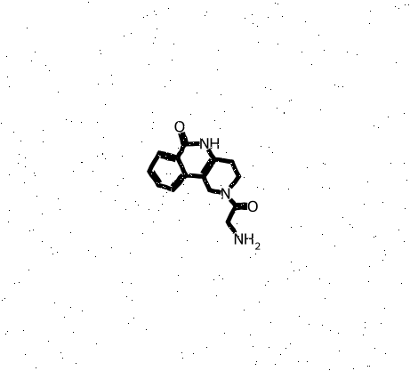 NCC(=O)N1CCc2[nH]c(=O)c3ccccc3c2C1